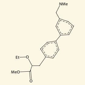 CCOC(Cc1ccc(-c2cccc(CNC)c2)cc1)C(=O)OC